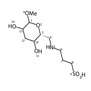 COC1O[C@H](CNCCCS(=O)(=O)O)C(O)CC1O